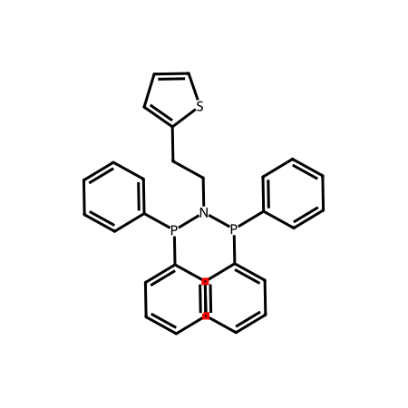 c1ccc(P(c2ccccc2)N(CCc2cccs2)P(c2ccccc2)c2ccccc2)cc1